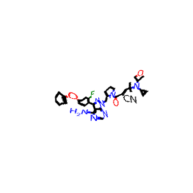 CC(C)(C=C(C#N)C(=O)N1CCCC1Cn1nc(-c2ccc(Oc3ccccc3)cc2F)c2c(N)ncnc21)N(C1CC1)C1COC1